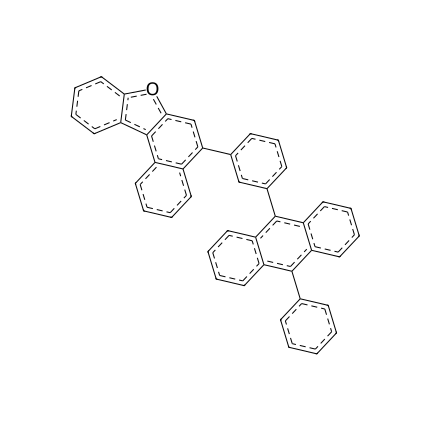 c1ccc(-c2c3ccccc3c(-c3cccc(-c4cc5oc6ccccc6c5c5ccccc45)c3)c3ccccc23)cc1